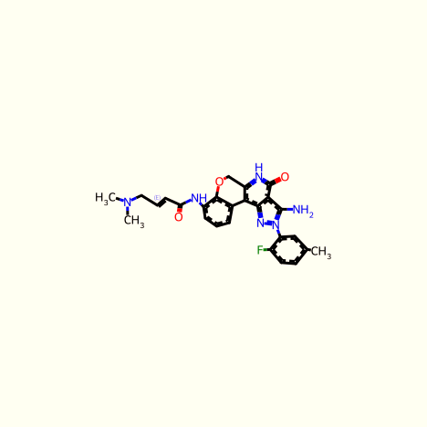 Cc1ccc(F)c(-n2nc3c4c([nH]c(=O)c3c2N)COc2c(NC(=O)/C=C/CN(C)C)cccc2-4)c1